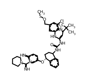 CSOCc1cc(Cl)cc(N/C(=C\C(=N)C(C)(C)C)NC(=O)NC2CC[C@@H](Oc3ccc(=N)n(C(=N)N4CCCCC4)c3)c3ccccc32)c1